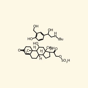 CC(C)(C)NCC(O)c1ccc(O)c(CO)c1.C[C@]12CCC(=O)C=C1CC[C@@H]1[C@@H]2[C@@H](O)C[C@@]2(C)[C@H]1CC[C@]2(O)C(=O)COS(=O)(=O)O